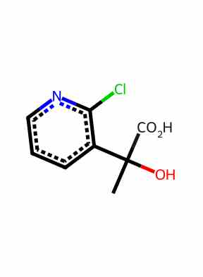 CC(O)(C(=O)O)c1cccnc1Cl